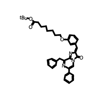 CC(C)(C)OC(=O)CCCCCCCOc1cccc(/C=C2\N=C3C(Cc4ccccc4)=NC(c4ccccc4)=CN3C2=O)c1